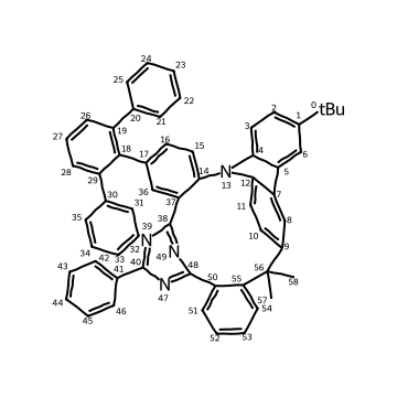 CC(C)(C)c1ccc2c(c1)c1cc3ccc1n2-c1ccc(-c2c(-c4ccccc4)cccc2-c2ccccc2)cc1-c1nc(-c2ccccc2)nc(n1)-c1ccccc1C3(C)C